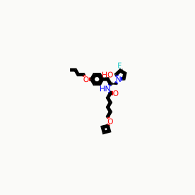 CCCCOc1ccc([C@@H](O)[C@@H](CN2CC[C@@H](F)C2)NC(=O)CCCCCOC2CCC2)cc1